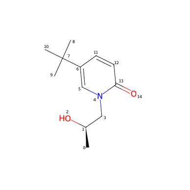 C[C@@H](O)Cn1cc(C(C)(C)C)ccc1=O